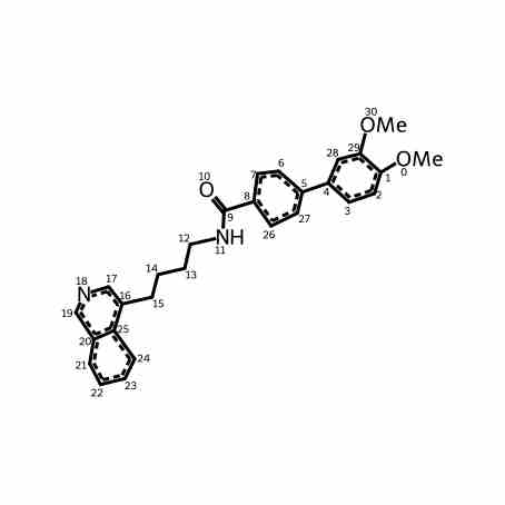 COc1ccc(-c2ccc(C(=O)NCCCCc3cncc4ccccc34)cc2)cc1OC